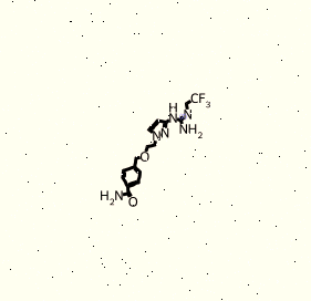 NC(=O)c1ccc(COCCn2ccc(N/C(N)=N\CC(F)(F)F)n2)cc1